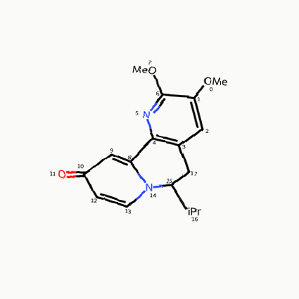 COc1cc2c(nc1OC)-c1cc(=O)ccn1C(C(C)C)C2